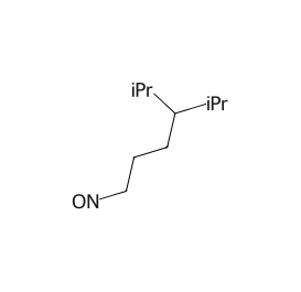 CC(C)C(CCCN=O)C(C)C